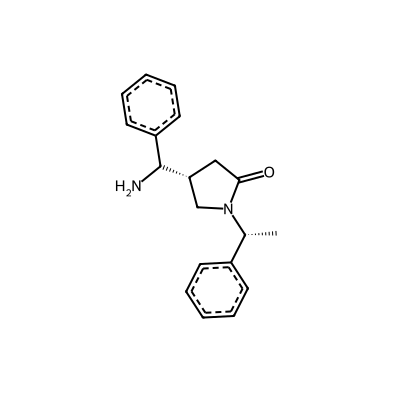 C[C@H](c1ccccc1)N1C[C@H](C(N)c2ccccc2)CC1=O